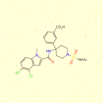 CC(=O)NS(=O)(=O)N1CCC(NC(=O)c2cc3c(Cl)c(Cl)ccc3n2C)(c2cccc(C(=O)O)c2)CC1